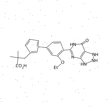 CCOc1cc(-c2cccc(CC(C)(C)C(=O)O)c2)ccc1-c1nc2c(c(=O)[nH]1)NNN2